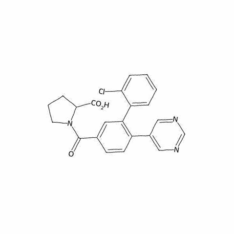 O=C(O)C1CCCN1C(=O)c1ccc(-c2cncnc2)c(-c2ccccc2Cl)c1